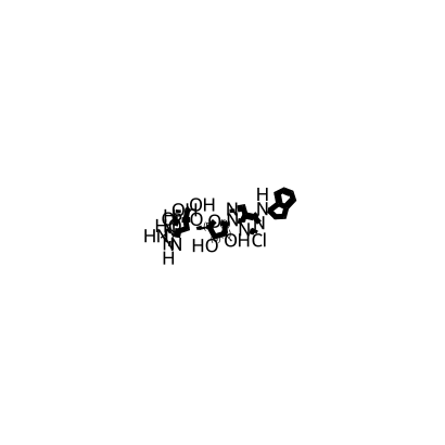 O=P(O)(O)C(CO)(CC1=NNNN1)OC[C@H]1O[C@@H](n2ncc3c(NC4CCc5ccccc54)nc(Cl)nc32)[C@H](O)[C@@H]1O